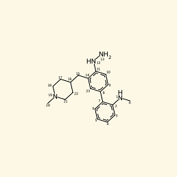 CNc1ccccc1-c1ccc(NN)c(CC2CCN(C)CC2)c1